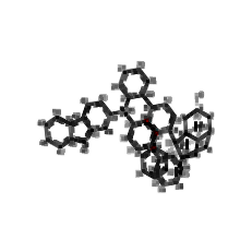 C[C@@H]1CC2C[C@@H]3C[C@H]2[C@H](C1)[C@@]31c2ccccc2-c2cc(-c3ccccc3N(c3ccc(-c4ccccc4)cc3)c3ccc4c(c3)sc3ccccc34)ccc21